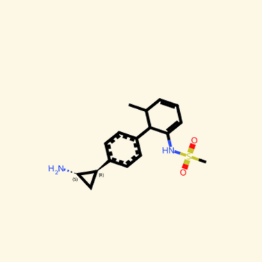 CC1C=CC=C(NS(C)(=O)=O)C1c1ccc([C@H]2C[C@@H]2N)cc1